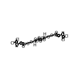 CN1Cc2c(Cl)cc(Cl)cc2C(c2ccc3c(c2)C(=O)N(CCOCCOCCNC(=O)O[C@@H]2COC4C2OC[C@H]4OC(=O)NCCOCCOCCN2Cc4ccc(C5CN(C)Cc6c(Cl)cc(Cl)cc65)cc4C2=O)C3)C1